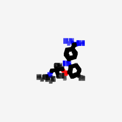 CCC1=CC(OCC(C)(C)CN(C)C)=C(Nc2ccc(C(=N)N)cc2)[CH]C1